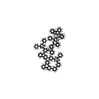 c1ccc(-c2cc(-c3ccccc3)nc(-c3cc(-n4c5ccccc5c5cc(-c6ccc7c8cc(-c9cccc(-c%10cccc(-c%11nc(-c%12ccccc%12)nc(-c%12ccccc%12)n%11)c%10)c9)ccc8c8ccccc8c7c6)ccc54)cc(-n4c5ccccc5c5cc(-c6cc7c(-c8ccccc8)nc(-n8c9ccccc9c9c%10ccccc%10c%10c%11ccccc%11sc%10c98)nc7c7ccccc67)ccc54)c3)n2)cc1